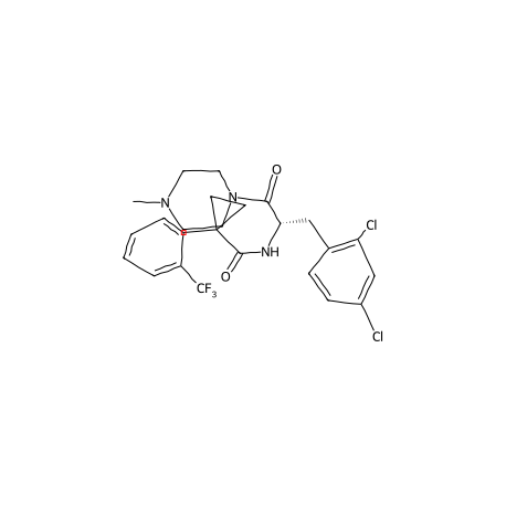 CN1CCN(C(=O)[C@H](Cc2ccc(Cl)cc2Cl)NC(=O)C2(c3ccccc3C(F)(F)F)CC2)CC1